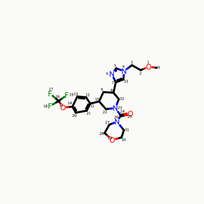 COCCn1cnc(C2CC(c3ccc(OC(F)(F)F)cc3)CN(C(=O)N3CCOCC3)C2)c1